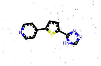 [c]1cc(-c2ccncc2)sc1-c1nnc[nH]1